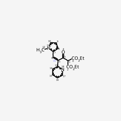 CCOC(=O)C(C(=O)OCC)C(=O)/C(=C\c1cccn1C)c1ccccn1